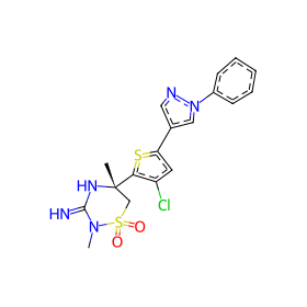 CN1C(=N)N[C@](C)(c2sc(-c3cnn(-c4ccccc4)c3)cc2Cl)CS1(=O)=O